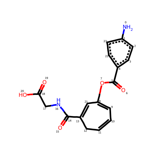 Nc1ccc(C(=O)OC2=CC=CCC(C(=O)NCC(=O)O)=C2)cc1